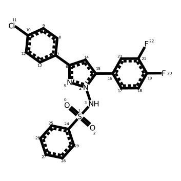 O=S(=O)(Nn1nc(-c2ccc(Cl)cc2)cc1-c1ccc(F)c(F)c1)c1ccccc1